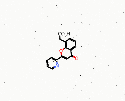 O=C(O)Cc1cccc2c(=O)cc(-c3ccccn3)oc12